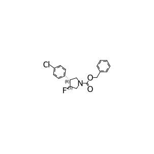 O=C(OCc1ccccc1)N1C[C@@H](F)[C@H](c2ccc(Cl)cc2)C1